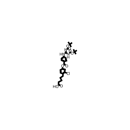 CC(C)(C)OC(=O)/N=C(\NC(=O)OC(C)(C)C)Nc1ccc(C(=O)Oc2ccc(CCCCC(=O)O)c(Cl)c2)cc1